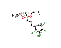 CCO[Si](C)(CCCc1cc(F)c(F)c(F)c1F)OCC